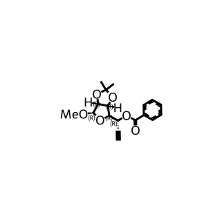 C#C[C@@H](OC(=O)c1ccccc1)[C@H]1O[C@@H](OC)[C@@H]2OC(C)(C)O[C@@H]21